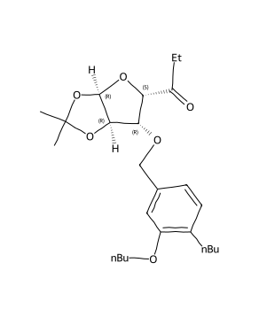 CCCCOc1cc(CO[C@@H]2[C@H]3OC(C)(C)O[C@H]3O[C@@H]2C(=O)CC)ccc1CCCC